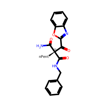 CCCCC[C@](C(N)=O)(C(=O)NCc1ccccc1)C(=O)c1nc2ccccc2o1